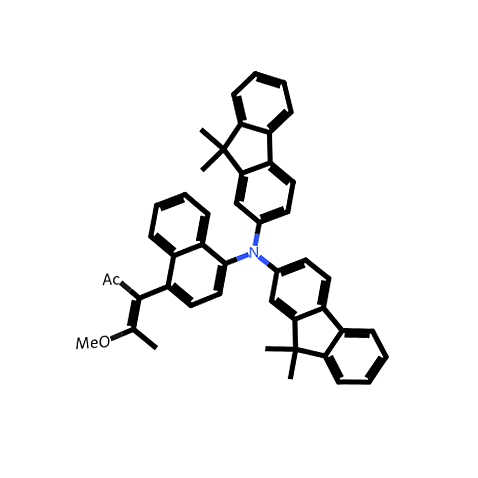 CO/C(C)=C(\C(C)=O)c1ccc(N(c2ccc3c(c2)C(C)(C)c2ccccc2-3)c2ccc3c(c2)C(C)(C)c2ccccc2-3)c2ccccc12